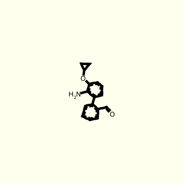 Nc1c(OC2CC2)cccc1-c1ccccc1C=O